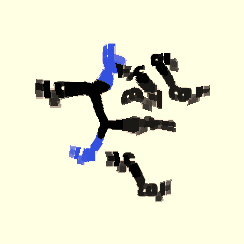 C=C(N)C(N)CCCCC.CC(=O)O.CC(=O)O.CC(=O)O